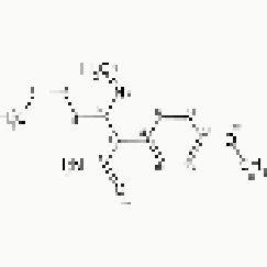 C=N/C(=C\C=C/C)C(C(N)=O)c1ccc(OC)cc1